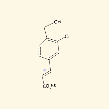 CCOC(=O)/C=C/c1ccc(CO)c(Cl)c1